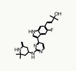 C=C1CC(Nc2nccc(-c3c[nH]c4cc(/C=C/C(C)(C)O)c(F)cc34)n2)CC(C)(C)N1